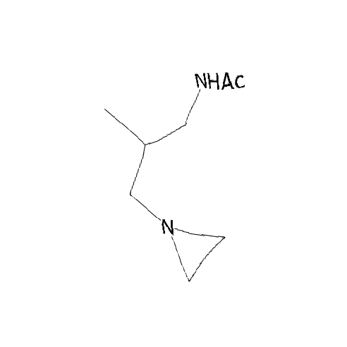 CC(=O)NCC(C)CN1CC1